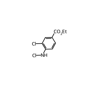 CCOC(=O)c1ccc(NCl)c(Cl)c1